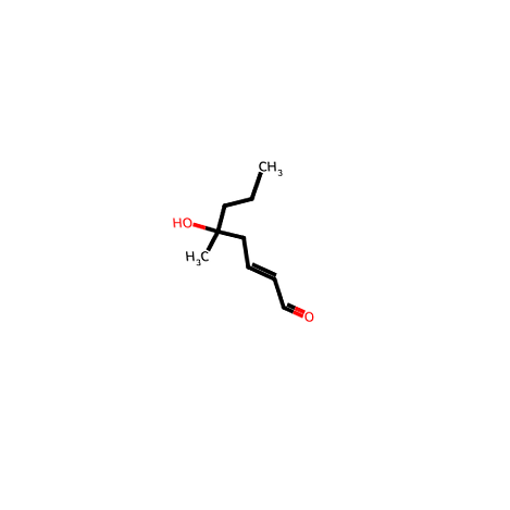 CCCC(C)(O)CC=CC=O